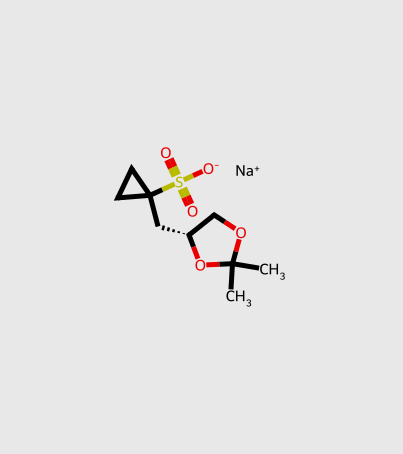 CC1(C)OC[C@@H](CC2(S(=O)(=O)[O-])CC2)O1.[Na+]